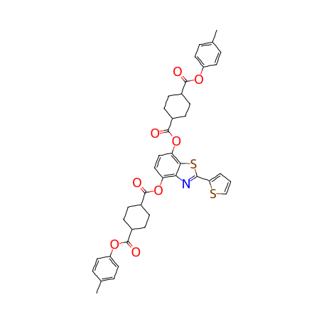 Cc1ccc(OC(=O)C2CCC(C(=O)Oc3ccc(OC(=O)C4CCC(C(=O)Oc5ccc(C)cc5)CC4)c4sc(-c5cccs5)nc34)CC2)cc1